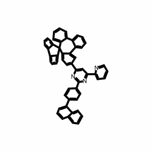 c1ccc(-c2cc(-c3ccc4c(c3)-c3ccccc3-c3ccccc3C43c4ccccc4-c4ccccc43)nc(-c3ccc(-c4cccc5ccccc45)cc3)n2)nc1